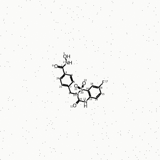 O=C(NO)c1ccc(CN2C(=O)Nc3ccc(F)cc3S2(=O)=O)cc1